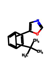 CC(C)(C)C1c2ccc(cc2)C1c1cnco1